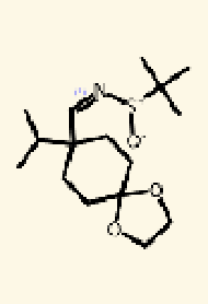 CC(C)C1(/C=N\[S+]([O-])C(C)(C)C)CCC2(CC1)OCCO2